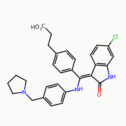 O=C(O)CCc1ccc(/C(Nc2ccc(CN3CCCC3)cc2)=C2/C(=O)Nc3cc(Cl)ccc32)cc1